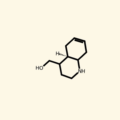 OCC1CCNC2CC=CC[C@H]12